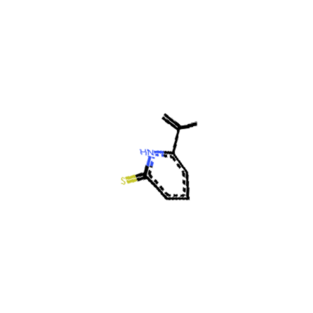 C=C(C)c1cccc(=S)[nH]1